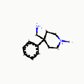 NCC1(c2ccccc2)CCN(I)CC1